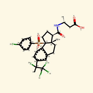 C[C@H](CC(=O)O)NC(=O)[C@@H]1CC[C@@]2(S(=O)(=O)c3ccc(F)cc3)c3ccc(C(C)(F)C(F)(F)F)cc3CC[C@@H]12